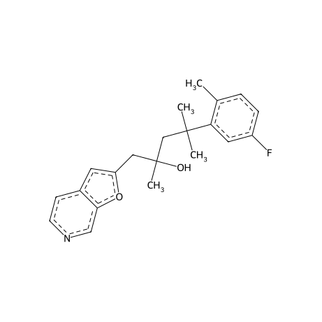 Cc1ccc(F)cc1C(C)(C)CC(C)(O)Cc1cc2ccncc2o1